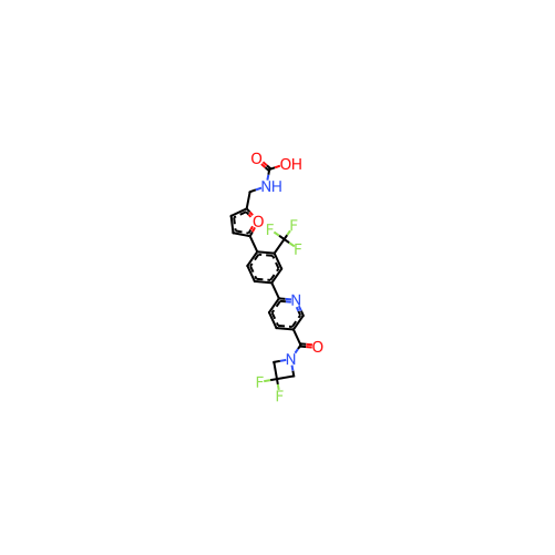 O=C(O)NCc1ccc(-c2ccc(-c3ccc(C(=O)N4CC(F)(F)C4)cn3)cc2C(F)(F)F)o1